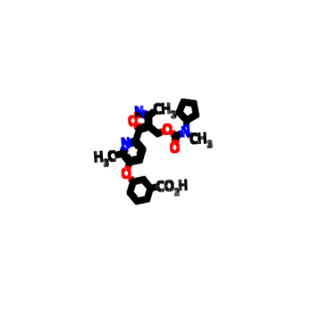 Cc1nc(-c2onc(C)c2COC(=O)N(C)C2CCCC2)ccc1OC1CCCC(C(=O)O)C1